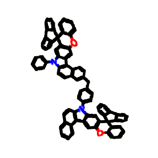 c1ccc(-n2c3cc4c(cc3c3c5ccc(Cc6ccc(-n7c8cc9c(cc8c8c%10ccccc%10ccc87)Oc7ccccc7C97c8ccccc8-c8ccccc87)cc6)cc5ccc32)Oc2ccccc2C42c3ccccc3-c3ccccc32)cc1